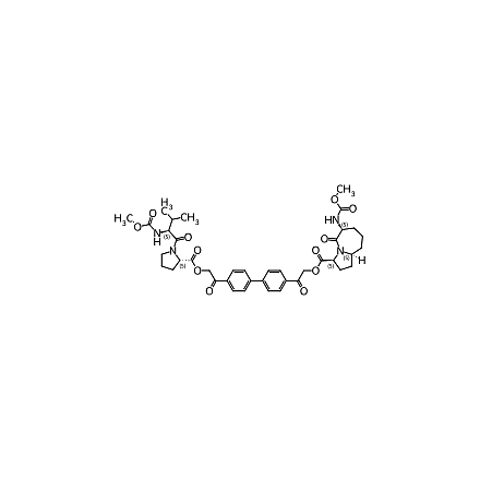 COC(=O)N[C@H]1CCC[C@H]2CC[C@@H](C(=O)OCC(=O)c3ccc(-c4ccc(C(=O)COC(=O)[C@@H]5CCCN5C(=O)[C@@H](NC(=O)OC)C(C)C)cc4)cc3)N2C1=O